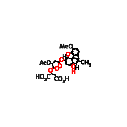 COc1ccc2c3c1O[C@H]1C(OC(=O)C[C@H](OC(C)=O)C(=O)O[C@H](CC(=O)O)C(=O)O)=CC[C@@]4(O)[C@@H](C2)C(C)CC[C@]314